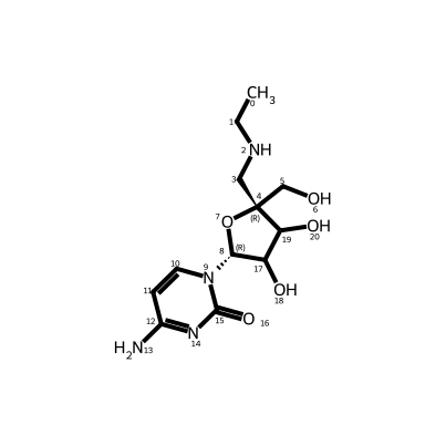 CCNC[C@]1(CO)O[C@@H](n2ccc(N)nc2=O)C(O)C1O